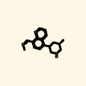 C/N=C\c1ccc(C2CNC[C@H](C)C2)c2cccnc12